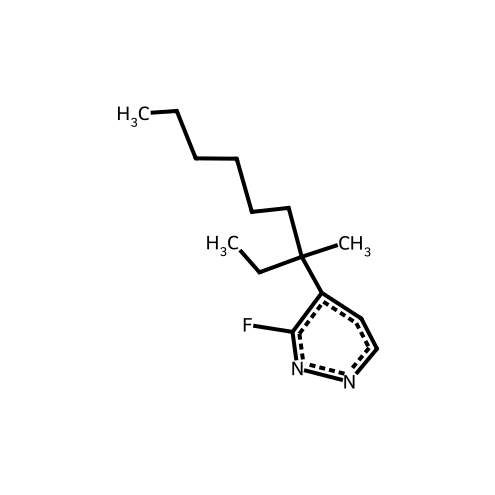 CCCCCCC(C)(CC)c1ccnnc1F